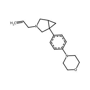 C=CCN1CC2CC2(c2ccc(N3CCOCC3)cc2)C1